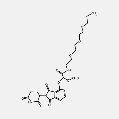 NCCOCCOCCOCCNC(=O)C(OC=O)Oc1cccc2c1C(=O)N(C1CCC(=O)NC1=O)C2=O